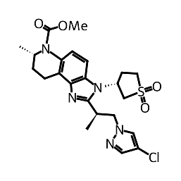 COC(=O)N1c2ccc3c(nc([C@H](C)Cn4cc(Cl)cn4)n3[C@@H]3CCS(=O)(=O)C3)c2CC[C@@H]1C